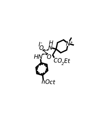 CCCCCCCCc1ccc(NS(=O)(=O)NC2(CC(=O)OCC)CC[N+](C)(C)CC2)cc1.[I-]